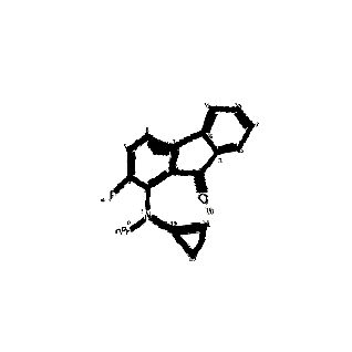 CCCN(c1c(F)ccc2c1C(=O)c1ccccc1-2)C1CC1